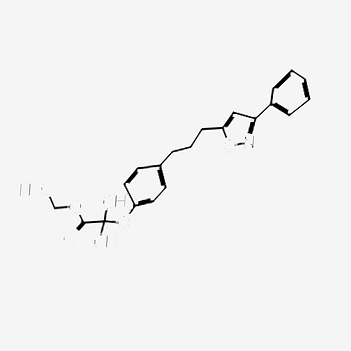 CCOC(=O)C(C)(C)Oc1ccc(CCCc2cc(-c3ccccc3)no2)cc1